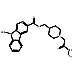 CCCn1c2ccccc2c2cc(C(=O)NCC3CCN(CC(=O)NC(C)(C)C)CC3)ccc21